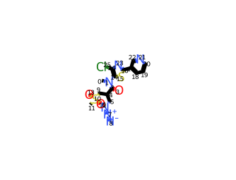 CN(C(=O)C(CN=[N+]=[N-])CS(C)(=O)=O)c1sc(-c2cccnc2)nc1Cl